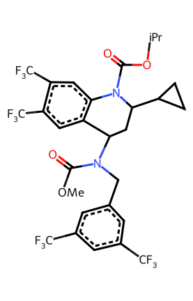 COC(=O)N(Cc1cc(C(F)(F)F)cc(C(F)(F)F)c1)C1CC(C2CC2)N(C(=O)OC(C)C)c2cc(C(F)(F)F)c(C(F)(F)F)cc21